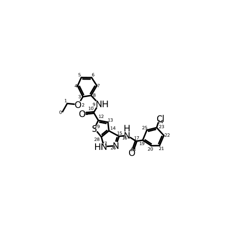 CCOc1ccccc1NC(=O)c1cc2c(NC(=O)c3cccc(Cl)c3)n[nH]c2s1